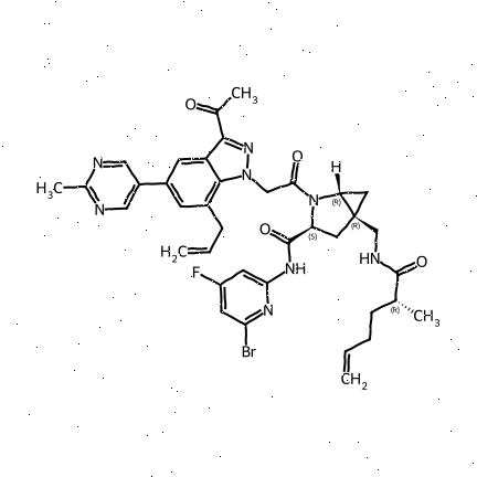 C=CCC[C@@H](C)C(=O)NC[C@@]12C[C@@H](C(=O)Nc3cc(F)cc(Br)n3)N(C(=O)Cn3nc(C(C)=O)c4cc(-c5cnc(C)nc5)cc(CC=C)c43)[C@@H]1C2